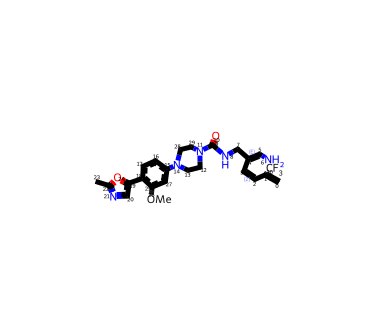 C=C(/C=C\C(=C/N)CNC(=O)N1CCN(c2ccc(-c3cnc(C)o3)c(OC)c2)CC1)C(F)(F)F